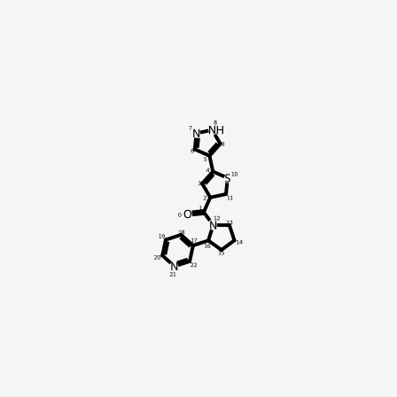 O=C(C1C=C(c2cn[nH]c2)SC1)N1CCCC1c1cccnc1